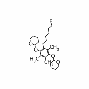 Cc1c(C)c(OC2CCCCO2)c(CCCCCCF)c(C)c1OC1CCCCO1